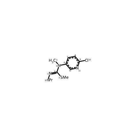 CCC/N=C(\SC)N(C)c1ccc(Cl)nc1